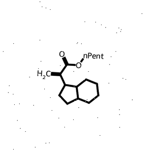 C=C(C(=O)OCCCCC)C1CCC2CCCCC21